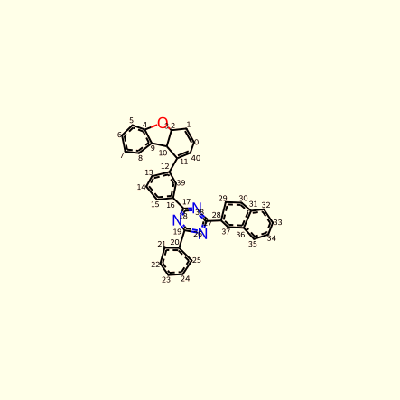 C1=CC2Oc3ccccc3C2C(c2cccc(-c3nc(-c4ccccc4)nc(-c4ccc5ccccc5c4)n3)c2)=C1